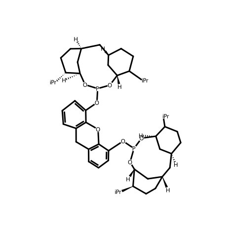 CC(C)C1CC[C@H]2C[C@@H]3CC[C@@H](C(C)C)[C@@H](C3)OP(Oc3cccc4c3Oc3c(cccc3OP3O[C@@H]5C[C@@H](CCC5C(C)C)C[C@@H]5CC[C@@H](C(C)C)[C@@H](C5)O3)C4)O[C@@H]1C2